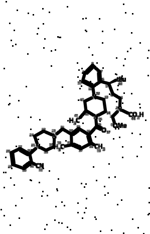 COCN(CC[C@@H](c1ccccc1N1CCN(C(=O)c2cc(CN3CCN(c4ccccc4C#N)CC3)c(C)cc2C)C(C)C1)C(C)(C)C)C(=O)O